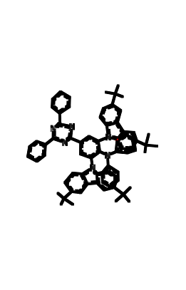 CC(C)(C)c1ccc2c(c1)c1cc(C(C)(C)C)ccc1n2-c1cc(-c2nc(-c3ccccc3)nc(-c3ccccc3)n2)cc(-n2c3ccc(C(C)(C)C)cc3c3cc(C(C)(C)C)ccc32)c1N(c1ccccc1)c1ccccc1